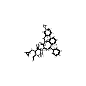 CC[C@H](O)[C@@H](CC1CC1)C(=O)NC1N=C(c2ccccc2)c2ccccc2N(Cc2ccc[n+]([O-])c2)C1=O